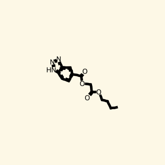 CCCCOC(=O)COC(=O)c1ccc2[nH]nnc2c1